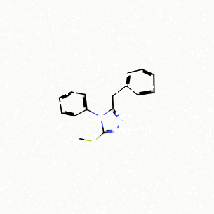 CSc1nnc(Cc2ccccc2)n1-c1ccccc1